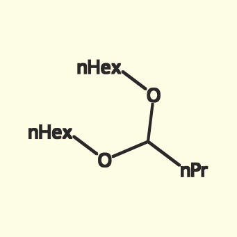 [CH2]CCC(OCCCCCC)OCCCCCC